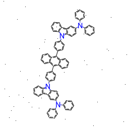 c1ccc(N(c2ccccc2)c2ccc3c(c2)c2ccccc2n3-c2ccc(-c3c4ccccc4c(-c4ccc(-n5c6ccccc6c6cc(N(c7ccccc7)c7ccccc7)ccc65)cc4)c4ccccc34)cc2)cc1